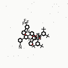 CC(C)(C)c1cc(-c2nc(-c3cc(C(C)(C)C)cc(C(C)(C)C)c3)nc(-c3ccc(-n4c5ccccc5c5cc(C(F)(F)F)ccc54)c(-c4ccc(-c5cccc(C#N)c5)cc4-n4c5ccccc5c5cc(C(F)(F)F)ccc54)c3)n2)cc(C(C)(C)C)c1